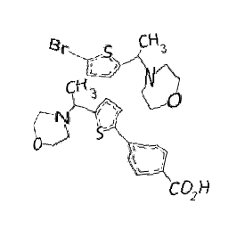 CC(c1ccc(-c2ccc(C(=O)O)cc2)s1)N1CCOCC1.CC(c1ccc(Br)s1)N1CCOCC1